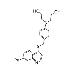 CSc1ccc2c(SCc3ccc(N(CCO)CCO)cc3)ccnc2c1